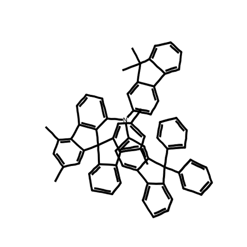 Cc1cc(C)c2c(c1)C1(c3ccccc3-2)c2cc(C)cc(C)c2-c2cccc(N(c3ccc4c(c3)C(C)(C)c3ccccc3-4)c3ccc4c(c3)C(c3ccccc3)(c3ccccc3)c3ccccc3-4)c21